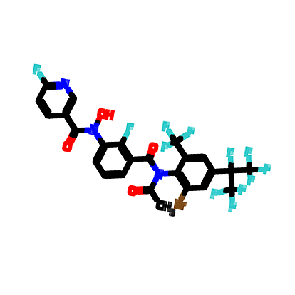 CC(=O)N(C(=O)c1cccc(N(O)C(=O)c2ccc(F)nc2)c1F)c1c(Br)cc(C(F)(C(F)(F)F)C(F)(F)F)cc1C(F)(F)F